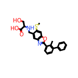 CSc1cc2oc(-c3cccc(-c4ccccc4)c3C)nc2cc1CNC(CO)C(=O)O